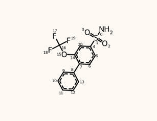 NS(=O)(=O)c1ccc(-c2ccccc2)c(OC(F)(F)F)c1